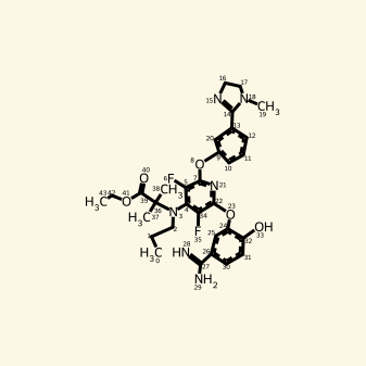 CCCN(c1c(F)c(Oc2cccc(C3=NCCN3C)c2)nc(Oc2cc(C(=N)N)ccc2O)c1F)C(C)(C)C(=O)OCC